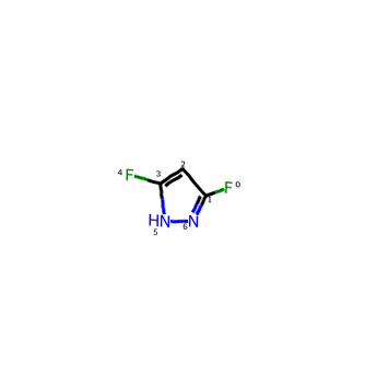 Fc1cc(F)[nH]n1